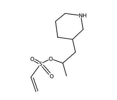 C=CS(=O)(=O)OC(C)CC1CCCNC1